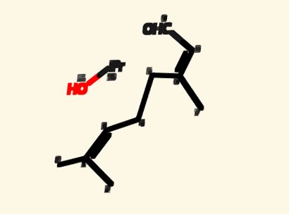 CC(C)=CCCC(C)=CC=O.CC(C)O